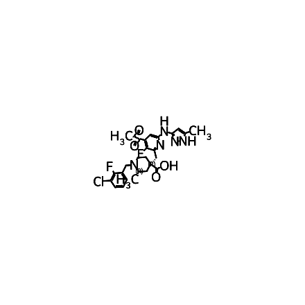 Cc1cc(Nc2cc(S(C)(=O)=O)c(F)c(C[C@@]3(C(=O)O)CCN(Cc4cccc(Cl)c4F)[C@H](C)C3)n2)n[nH]1